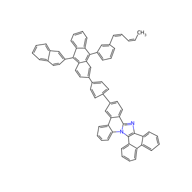 C/C=C\C=C/c1cccc(-c2c3ccccc3c(-c3ccc4ccccc4c3)c3ccc(-c4ccc(-c5ccc6c(c5)c5ccccc5n5c6nc6c7ccccc7c7ccccc7c65)cc4)cc23)c1